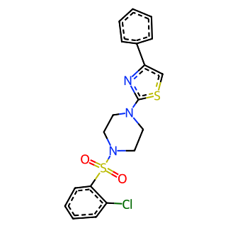 O=S(=O)(c1ccccc1Cl)N1CCN(c2nc(-c3ccccc3)cs2)CC1